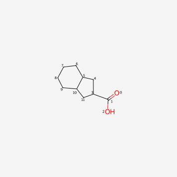 O=C(O)C1CC2CCCCC2C1